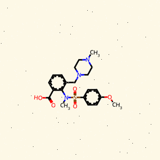 COc1ccc(S(=O)(=O)N(C)c2c(CN3CCN(C)CC3)cccc2C(=O)O)cc1